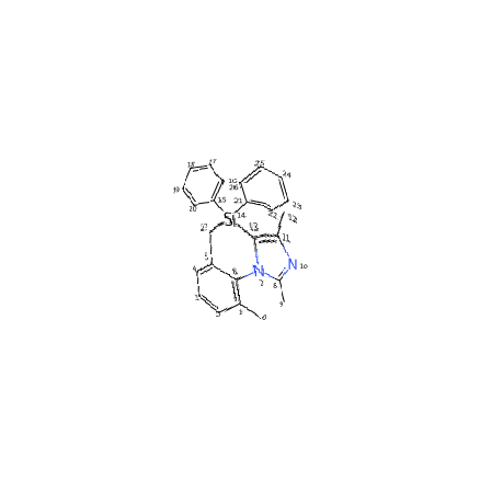 Cc1cccc2c1-n1c(C)nc(C)c1[Si](c1ccccc1)(c1ccccc1)C2